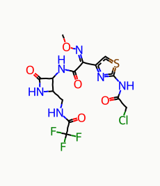 CO/N=C(\C(=O)NC1C(=O)NC1CNC(=O)C(F)(F)F)c1csc(NC(=O)CCl)n1